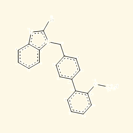 CC(C)c1nc2ccccc2n1Cc1ccc(-c2ccccc2OC(=O)O)cc1